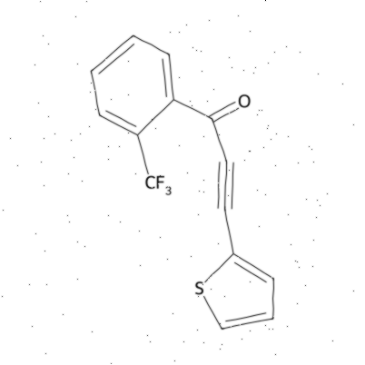 O=C(C#Cc1cccs1)c1ccccc1C(F)(F)F